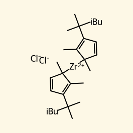 CCC(C)C(C)(C)C1=C(C)[C](C)([Zr+2][C]2(C)C=CC(C(C)(C)C(C)CC)=C2C)C=C1.[Cl-].[Cl-]